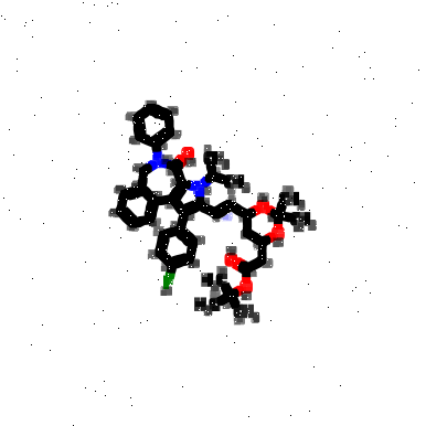 CC(C)n1c(/C=C/C2CC(CC(=O)OC(C)(C)C)OC(C)(C)O2)c(-c2ccc(F)cc2)c2c1C(=O)N(c1ccccc1)Cc1ccccc1-2